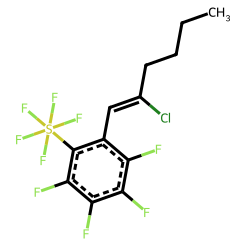 CCCCC(Cl)=Cc1c(F)c(F)c(F)c(F)c1S(F)(F)(F)(F)F